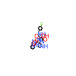 Cn1c(C2(C(=O)c3cnccn3)CNCCN2C(=O)c2ccccc2)nc(C(=O)NCc2ccc(F)cc2)c(O)c1=O